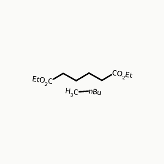 CCCCC.CCOC(=O)CCCCC(=O)OCC